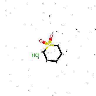 Cl.O=S1(=O)CCCCC1